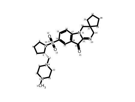 CN1CCN(C[C@@H]2CCCN2S(=O)(=O)c2ccc3c(c2)C(=O)C2=NCC4(CCCC4)CN23)CC1